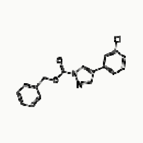 O=C(OCc1ccccc1)n1cc(-c2cccc(Cl)c2)cn1